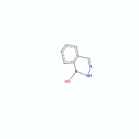 OB1NN=Cc2ccccc21